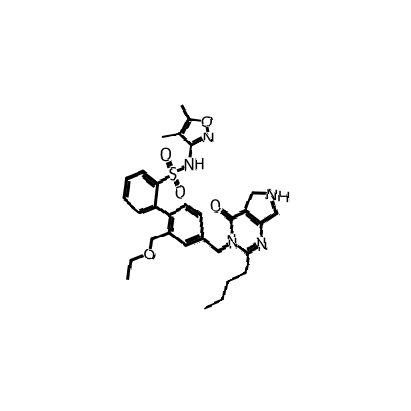 CCCCc1nc2c(c(=O)n1Cc1ccc(-c3ccccc3S(=O)(=O)Nc3noc(C)c3C)c(COCC)c1)CNC2